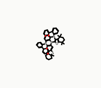 Cc1cc2c3c(c1)N(c1ccccc1-c1ccccc1)c1c(oc4c1C(C)(C)CCC4(C)C)B3c1cc3c(cc1N2c1ccccc1C1C=CC=CC1)C1(C)CCCCC1(C)S3